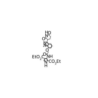 CCOC(=O)c1c[nH]c(C(=O)OCC)c1NC(=O)COc1cccc2c(C3CCC(=O)NC3=O)nn(C)c12